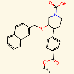 COC(=O)c1ccc(C2CCN(C(=O)O)CC2OCc2ccc3ccccc3c2)cc1